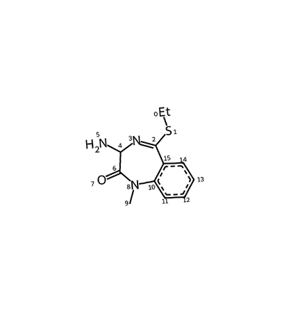 CCSC1=NC(N)C(=O)N(C)c2ccccc21